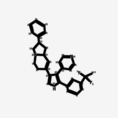 FC(F)(F)c1cccc(-c2[nH]cc(C3=CC4CC(c5ccccc5)CN4CC3)c2-c2ccncc2)c1